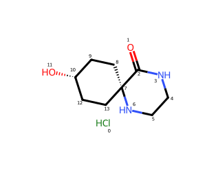 Cl.O=C1NCCN[C@]12CC[C@@H](O)CC2